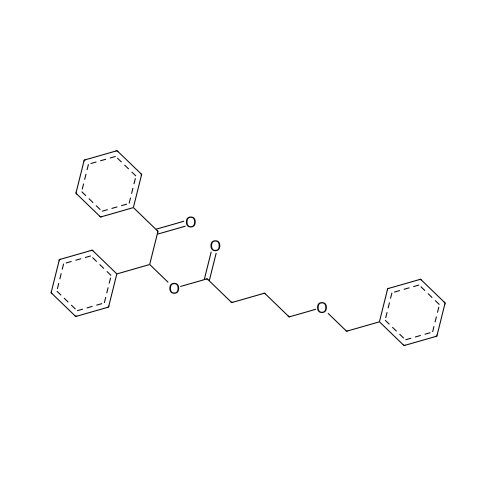 O=C(CCCOCc1ccccc1)OC(C(=O)c1ccccc1)c1ccccc1